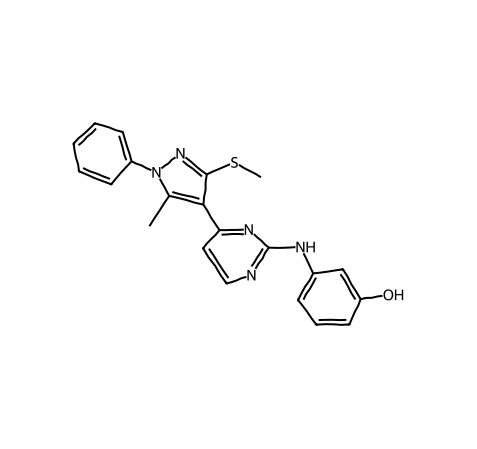 CSc1nn(-c2ccccc2)c(C)c1-c1ccnc(Nc2cccc(O)c2)n1